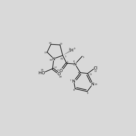 [2H][C@@]1(C(=O)N(C)c2nccnc2Cl)CCCN1C(=O)O